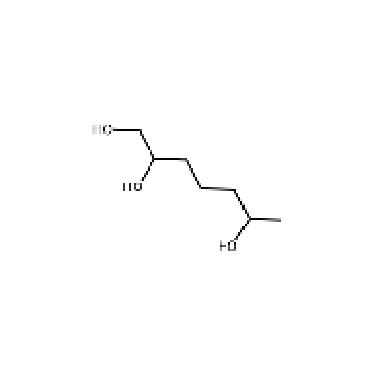 CC(O)CCCC(O)CO